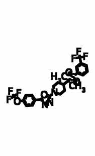 CC(C)(C1CCN(c2nnc(-c3ccc(OC(F)(F)F)cc3)o2)CC1)S(=O)(=O)c1cccc(C(F)(F)F)c1